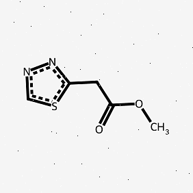 COC(=O)Cc1nncs1